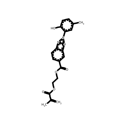 C=C(C)C(=O)OCCOC(=O)c1ccc2c(c1)n1n(-c3cc(C)ccc3O)n21